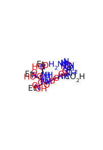 CCC(=O)N(O)CCCC[C@H](NC(=O)[C@H](CCCCN(O)C(=O)CC)NC(=O)[C@@H](N)CCCCN(O)C(=O)CC)C(=O)NCCOCCOCCNC(=O)CCC(NC(=O)c1ccc(N(C)Cc2cnc3nc(N)nc(N)c3n2)cc1)C(=O)O